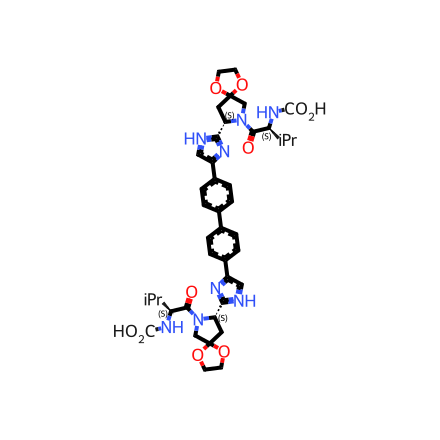 CC(C)[C@H](NC(=O)O)C(=O)N1CC2(C[C@H]1c1nc(-c3ccc(-c4ccc(-c5c[nH]c([C@@H]6CC7(CN6C(=O)[C@@H](NC(=O)O)C(C)C)OCCO7)n5)cc4)cc3)c[nH]1)OCCO2